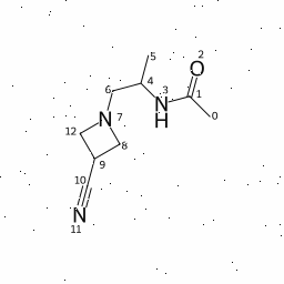 CC(=O)NC(C)CN1CC(C#N)C1